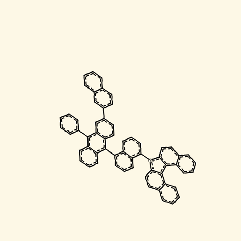 c1ccc(-c2c3ccccc3c(-c3cccc4c(-n5c6ccc7ccccc7c6c6c7ccccc7ccc65)cccc34)c3ccc(-c4ccc5ccccc5c4)cc23)cc1